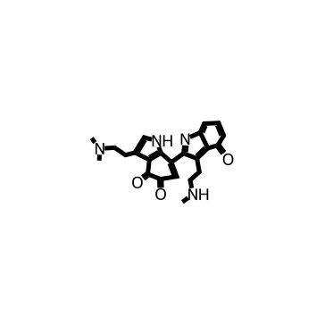 CNCCC1=C2C(=O)C=CC=C2N=C1C1=CC(=O)C(=O)c2c(CCN(C)C)c[nH]c21